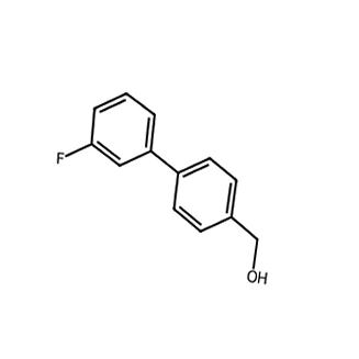 OCc1ccc(-c2cccc(F)c2)cc1